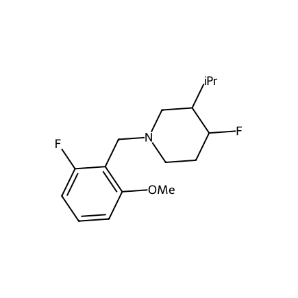 COc1cccc(F)c1CN1CCC(F)C(C(C)C)C1